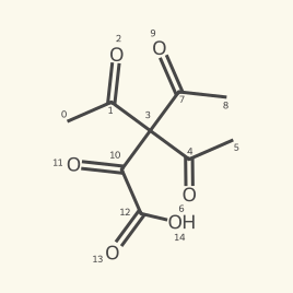 CC(=O)C(C(C)=O)(C(C)=O)C(=O)C(=O)O